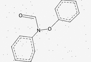 O=CN(Oc1ccccc1)c1cc[c]cc1